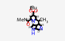 CNC(=O)c1cc(C(=O)OC(C)(C)C)cc(C(C)c2cncc3[nH]ccc23)n1